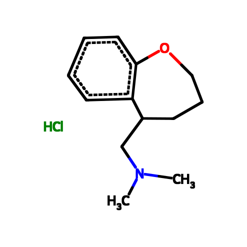 CN(C)CC1CCCOc2ccccc21.Cl